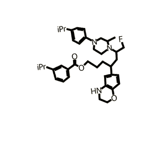 CC(C)c1ccc(N2CCN(C(CF)CC(CCCOC(=O)c3cccc(C(C)C)c3)c3ccc4c(c3)NCCO4)C(C)C2)cc1